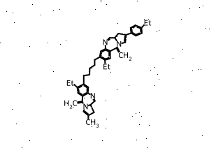 C=C1c2cc(CC)c(CCCCCc3cc4c(cc3CC)C(=C)N3C=C(c5ccc(CC)cc5)CC3C=N4)cc2N=CC2CC(C)=CN12